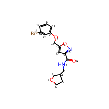 O=C(NCC1CCOC1)c1cc(COc2cccc(Br)c2)on1